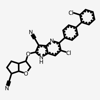 N#Cc1c(OC2COC3C(C#N)CCC23)[nH]c2cc(Cl)c(-c3ccc(-c4ccccc4Cl)cc3)nc12